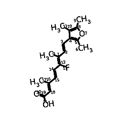 CC(/C=C/c1c(C)oc(C)c1C)=C(F)\C=C\C(C)=C\C(=O)O